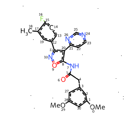 COc1cc(CC(=O)Nc2onc(-c3ccc(F)c(C)c3)c2-c2ccncn2)cc(OC)c1